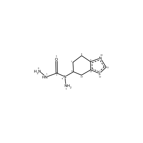 NNC(=O)N(N)C1CCc2ncsc2C1